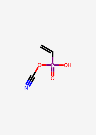 C=CP(=O)(O)OC#N